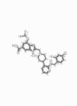 Cn1c(CN2CCC(c3cccnc3NCc3ccc(Cl)cc3F)CC2)nc2c(OC(F)F)cc(C(=O)O)cc21